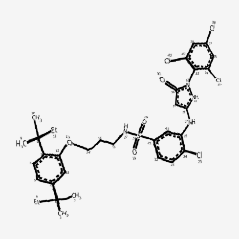 CCC(C)(C)c1ccc(C(C)(C)CC)c(OCCCNS(=O)(=O)c2ccc(Cl)c(Nc3cc(=O)n(-c4c(Cl)cc(Cl)cc4Cl)[nH]3)c2)c1